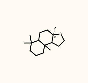 CC1(C)CCCC2(C)C1CC[C@@]1(C)OCCC21